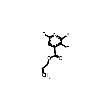 C=CCOC(=O)c1cc(F)nc(F)c1F